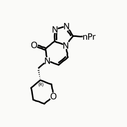 CCCc1nnc2c(=O)n(C[C@H]3CCCOC3)ccn12